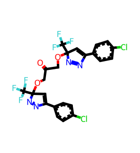 O=C(COC1(C(F)(F)F)C=C(c2ccc(Cl)cc2)N=N1)COC1(C(F)(F)F)C=C(c2ccc(Cl)cc2)N=N1